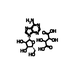 Nc1ncnc2c1ncn2[C@@H]1O[C@H](CO)[C@@H](O)[C@H]1O.O=C(O)C(O)C(O)C(=O)O